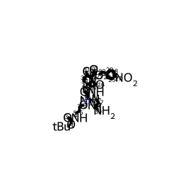 CC(C)(C)OC(=O)NCCCO/N=C(/C(=O)NC1C(=O)N2C(C(=O)OCc3ccc([N+](=O)[O-])cc3)=C(Cl)CS[C@H]12)c1nsc(N)n1